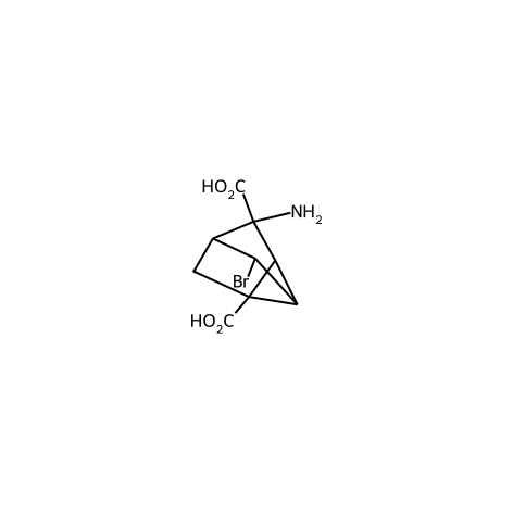 NC1(C(=O)O)C2CC3(C(=O)O)C(C2Br)C13